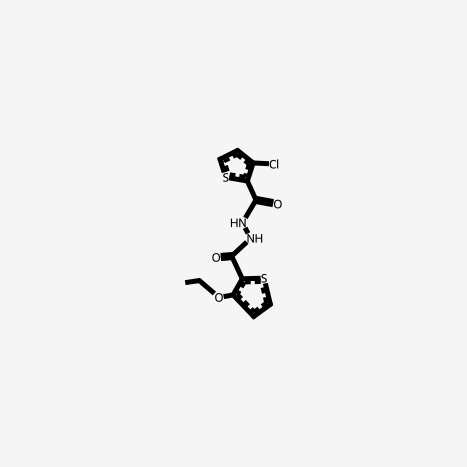 CCOc1ccsc1C(=O)NNC(=O)c1sccc1Cl